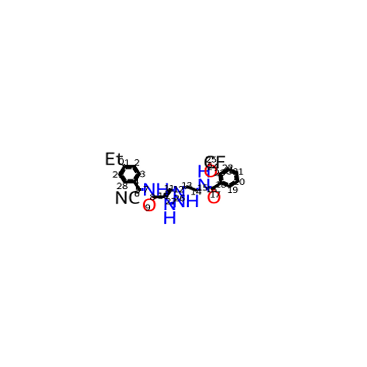 CCc1ccc(C(C#N)NC(=O)C2=CN(CCNC(=O)c3ccccc3OC(F)(F)F)NN2)cc1